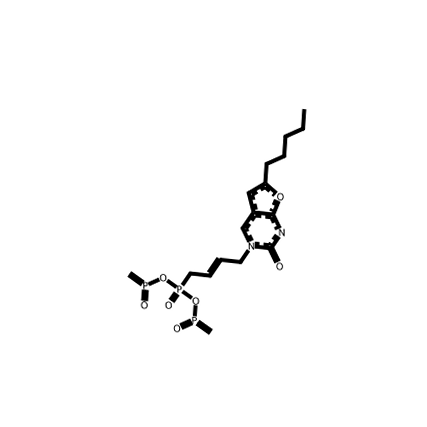 C=P(=O)OP(=O)(C/C=C/Cn1cc2cc(CCCCC)oc2nc1=O)OP(=C)=O